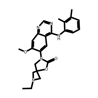 CCN1CC2(C1)CN(c1cc3c(Nc4cccc(C)c4C)ncnc3cc1OC)C(=O)O2